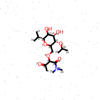 CC(=O)C(OCC1O[C@@H](C(C)C)C(O)[C@@H](O)[C@@H]1OC(C)C)C(=O)N(C)C